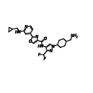 NCC1CCC(n2cc(NC(=O)c3coc(-c4ccnc(NCC5CC5)c4)n3)c(C(F)F)n2)CC1